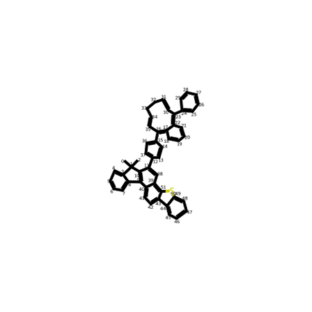 CC1(C)c2ccccc2-c2c1c(-c1ccc(C3=c4\cccc\c4=C(c4ccccc4)\C=C\CC\C=C\3)cc1)cc1c2ccc2c3ccccc3sc12